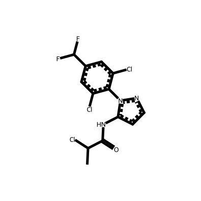 CC(Cl)C(=O)Nc1ccnn1-c1c(Cl)cc(C(F)F)cc1Cl